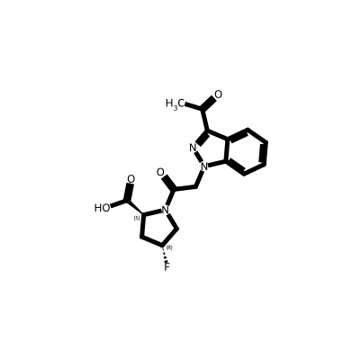 CC(=O)c1nn(CC(=O)N2C[C@H](F)C[C@H]2C(=O)O)c2ccccc12